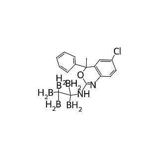 BC(B)(B)C(B)(B)NC1=Nc2ccc(Cl)cc2C(C)(c2ccccc2)O1